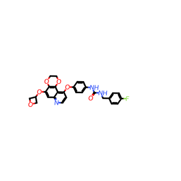 O=C(NCc1ccc(F)cc1)Nc1ccc(Oc2ccnc3cc(OC4COC4)c4c(c23)OCCO4)cc1